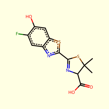 CC1(C)SC(c2nc3cc(F)c(O)cc3s2)=NC1C(=O)O